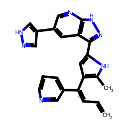 C=C/C=C(/c1cccnc1)c1cc(-c2n[nH]c3ncc(-c4cn[nH]c4)cc23)[nH]c1C